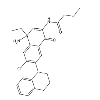 CCCC(=O)NC1=C[N+](N)(CC)c2cc(Cl)c(C3CCCc4ccccc43)cc2C1=O